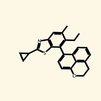 CCc1c(C)cc2nc(C3CC3)sc2c1-c1ccc2c3c(cccc13)CCO2